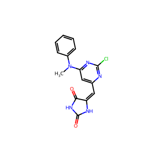 CN(c1ccccc1)c1cc(C=C2NC(=O)NC2=O)nc(Cl)n1